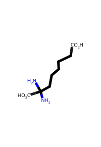 NC(N)(CCCCCC(=O)O)C(=O)O